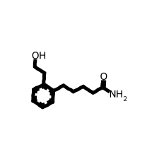 NC(=O)CCCCc1ccccc1CCO